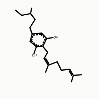 CCC(C)CCc1cc(O)c(CC=C(C)CCC=C(C)C)c(O)c1